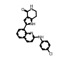 O=C1NCCc2[nH]c(-c3cccc4ccc(Nc5ccc(Cl)cc5)nc34)cc21